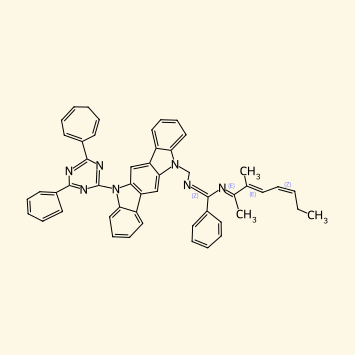 CC\C=C/C=C(C)/C(C)=N/C(=N\Cn1c2ccccc2c2cc3c(cc21)c1ccccc1n3-c1nc(C2=CC=CCC=C2)nc(-c2ccccc2)n1)c1ccccc1